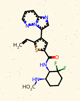 C=Cc1sc(C(=O)N[C@@H]2[C@H](NC(=O)O)CCCC2(F)F)cc1-c1cnc2cccnn12